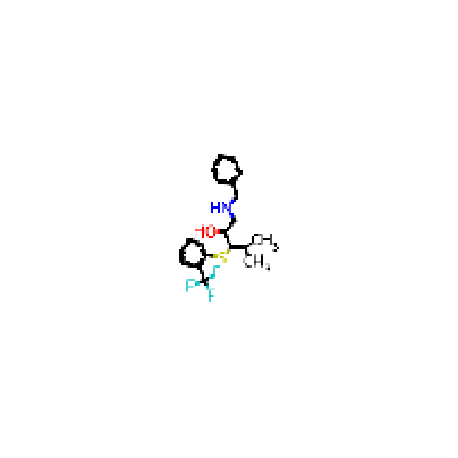 CC(C)C(Sc1ccccc1C(F)(F)F)C(O)CNCc1ccccc1